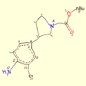 CCCCOC(=O)N1CCC(c2ccc(N)c(CC)c2)C1